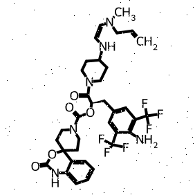 C=CCN(C)/C=C\NC1CCN(C(=O)[C@@H](Cc2cc(C(F)(F)F)c(N)c(C(F)(F)F)c2)OC(=O)N2CCC3(CC2)OC(=O)Nc2ccccc23)CC1